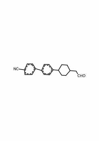 N#Cc1ccc(-c2ccc(C3CCC(CC=O)CC3)cc2)cc1